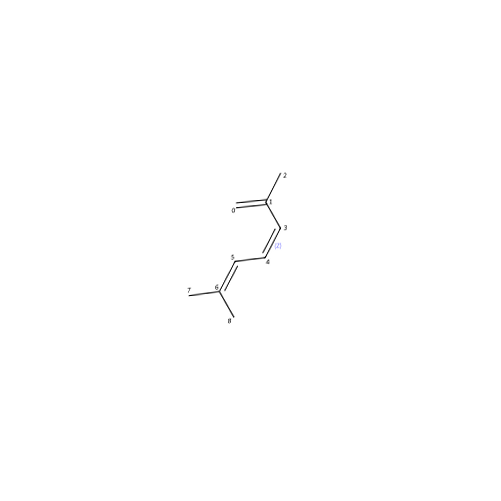 C=C(C)/C=C\C=C(C)C